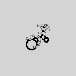 CC(C)(C)OC(=O)N[C@H](Cc1ccccc1)C(=O)O[C@@H]1C[C@]2(O)CC(OC(=O)CCCC/C=C\CNC2=O)[C@@H]1O